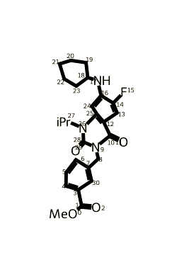 COC(=O)c1cccc(Cn2c(=O)c3cc(F)c(NC4CCCCC4)cc3n(C(C)C)c2=O)c1